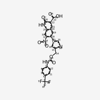 O=C(Nc1ccc(C(F)(F)F)cc1)OCc1cn(-c2cc3cc(C(=O)O)c(=O)[nH]c3cc2[N+](=O)[O-])cn1